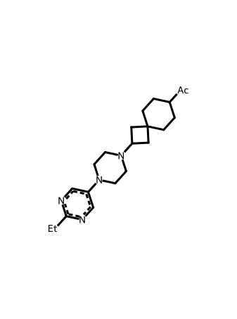 CCc1ncc(N2CCN(C3CC4(CCC(C(C)=O)CC4)C3)CC2)cn1